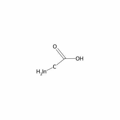 O=C(O)[CH2][InH2]